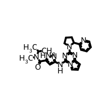 CC(C)N(C)C(=O)c1cc(Nc2nc(N3CCCC3c3ccccn3)nc3cccn23)n[nH]1